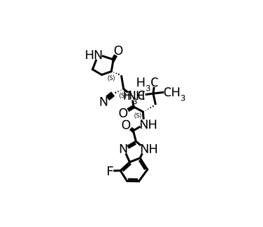 CC(C)(C)C[C@H](NC(=O)c1nc2c(F)cccc2[nH]1)C(=O)N[C@H](C#N)C[C@@H]1CCNC1=O